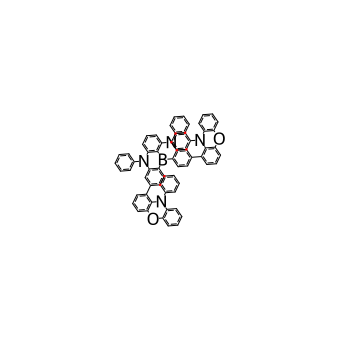 c1ccc(N2c3cc(-c4cccc5c4N(c4ccccc4)c4ccccc4O5)ccc3B3c4ccc(-c5cccc6c5N(c5ccccc5)c5ccccc5O6)cc4N(c4ccccc4)c4cccc2c43)cc1